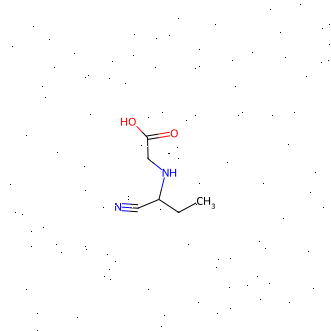 CCC(C#N)NCC(=O)O